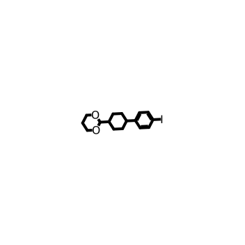 Ic1ccc(C2CCC(C3OCCCO3)CC2)cc1